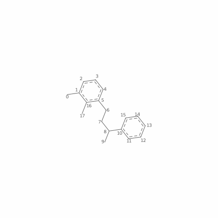 Cc1cccc(CCC(C)c2ccccc2)c1C